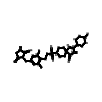 Cc1cc(CN2C(=O)CNC2=O)cc(C)c1CCS(=O)(=O)N1CCC2(CC1)N=C(C1CCC(C)CC1)NC2=O